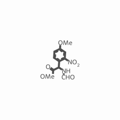 COC(=O)C(NC=O)c1ccc(OC)cc1[N+](=O)[O-]